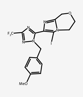 COc1ccc(Cn2nc(C(F)(F)F)nc2-c2nc3n(c2I)CCOC3)cc1